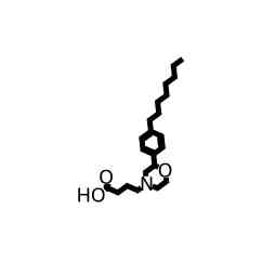 CCCCCCCCc1ccc(C2CN(CCCC(=O)O)CCO2)cc1